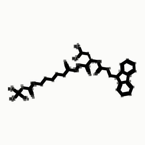 CC(C)C[C@H](NC(=O)OCC1c2ccccc2-c2ccccc21)C(=O)NNC(=O)CCCCCNC(=O)OC(C)(C)C